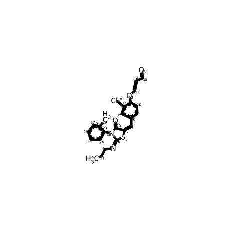 CCCN=C1SC(=Cc2ccc(OC=CC=O)c(Cl)c2)C(=O)N1c1ccccc1C